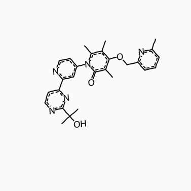 Cc1cccc(COc2c(C)c(C)n(-c3ccnc(-c4ccnc(C(C)(C)O)n4)c3)c(=O)c2C)n1